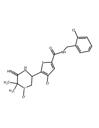 CC1(C)C(=N)NC(c2sc(C(=O)NCc3ccccc3Cl)cc2Cl)C[S+]1[O-]